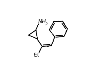 CCC(=Cc1ccccc1)C1CC1N